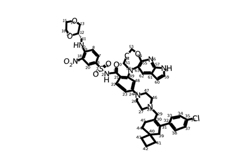 O=C(NS(=O)(=O)c1ccc(NC[C@H]2COCCO2)c([N+](=O)[O-])c1)c1ccc(N2CCN(CC3=C(c4ccc(Cl)cc4)CC4(CCC4)CC3)CC2)cc1N1CCCOc2nc3[nH]ccc3cc21